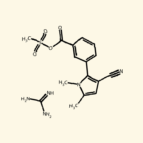 Cc1cc(C#N)c(-c2cccc(C(=O)OS(C)(=O)=O)c2)n1C.N=C(N)N